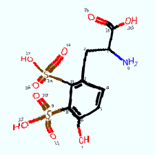 NC(Cc1ccc(O)c(S(=O)(=O)O)c1S(=O)(=O)O)C(=O)O